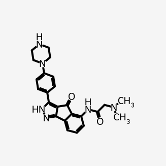 CN(C)CC(=O)Nc1cccc2c1C(=O)c1c-2n[nH]c1-c1ccc(N2CCNCC2)cc1